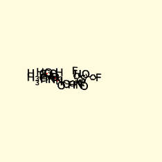 CC(C)(C)C[C@@H](NC(=O)CNC(=O)COc1ccc([C@]2(c3ccc(F)cc3)NC(=O)[C@@H]2SCC(O)c2ccc(F)cc2)cc1)C(=O)O